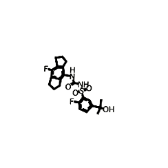 CC(C)(O)c1ccc(F)c(S(=O)(=O)NC(=O)Nc2c3c(c(F)c4c2CCC4)CCC3)c1